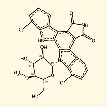 CO[C@H]1[C@H](O)[C@@H](O)[C@H](n2c3c(Cl)cccc3c3c4c(c5c6cccc(Cl)c6[nH]c5c32)C(=O)NC4=O)O[C@@H]1CO